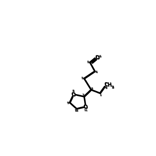 CCC(CCC=O)C1OCCO1